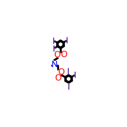 CN(CCOC(=O)c1cc(I)cc(I)c1I)CCOC(=O)c1cc(I)cc(I)c1I